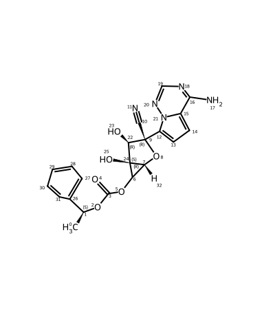 C[C@H](OC(=O)OC1[C@H]2O[C@@](C#N)(c3ccc4c(N)ncnn34)[C@H](O)[C@@]12O)c1ccccc1